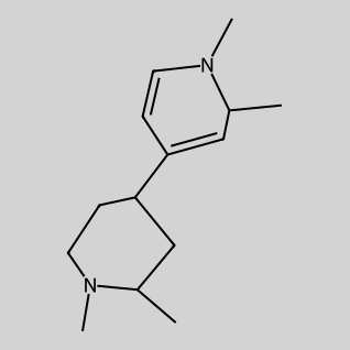 CC1C=C(C2CCN(C)C(C)C2)C=CN1C